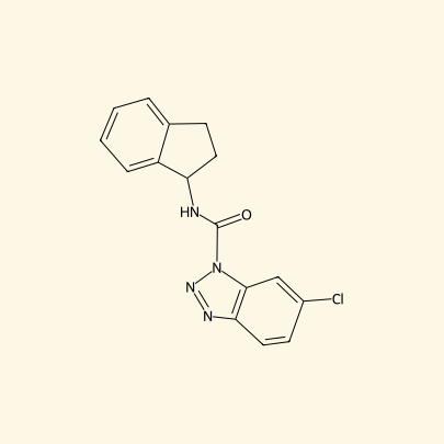 O=C(NC1CCc2ccccc21)n1nnc2ccc(Cl)cc21